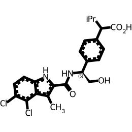 Cc1c(C(=O)N[C@H](CO)c2ccc(C(C(=O)O)C(C)C)cc2)[nH]c2ccc(Cl)c(Cl)c12